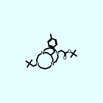 Cc1ccc(CC2CN3CCCN(CC(C)(C)C)CCN(CCCN(CC(=O)OC(C)(C)C)CC3)C2)cc1